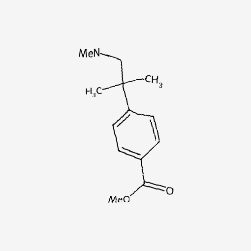 CNCC(C)(C)c1ccc(C(=O)OC)cc1